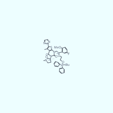 COc1ccc(F)cc1[C@H](Cn1c(=O)n([C@@]2(C)CCN(C)C2=O)c(=O)c2c(C)c(-n3nccn3)sc21)OCCO[Si](c1ccccc1)(c1ccccc1)C(C)(C)C